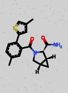 Cc1csc(-c2ccc(C)cc2C(=O)N2C[C@H]3C[C@H]3[C@H]2C(N)=O)c1